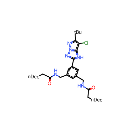 CCCCCCCCCCCC(=O)NCc1cc(CNC(=O)CCCCCCCCCCC)cc(-c2nn3nc(C(C)(C)C)c(Cl)c3[nH]2)c1